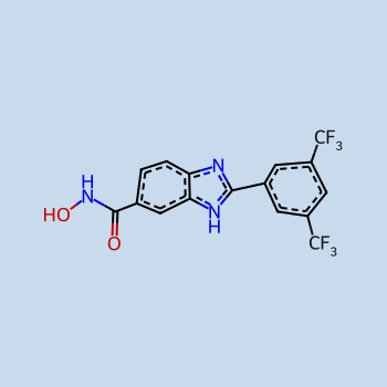 O=C(NO)c1ccc2nc(-c3cc(C(F)(F)F)cc(C(F)(F)F)c3)[nH]c2c1